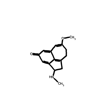 CNC1CC2=C3C(=CC(=O)C=C31)C=C(OC)CC2